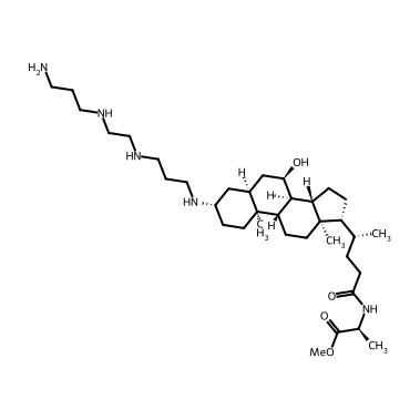 COC(=O)[C@H](C)NC(=O)CC[C@@H](C)[C@H]1CC[C@H]2[C@@H]3[C@H](O)C[C@@H]4C[C@@H](NCCCNCCNCCCN)CC[C@]4(C)[C@H]3CC[C@]12C